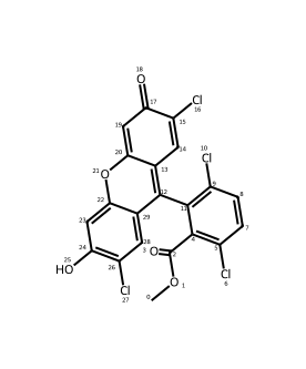 COC(=O)c1c(Cl)ccc(Cl)c1-c1c2cc(Cl)c(=O)cc-2oc2cc(O)c(Cl)cc12